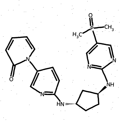 CP(C)(=O)c1cnc(N[C@H]2CC[C@H](Nc3ccc(-n4ccccc4=O)cn3)C2)nc1